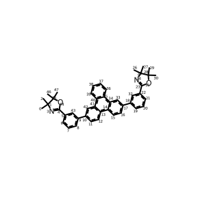 CC1(C)N=C(c2cccc(-c3ccc4c5ccc(-c6cccc(C7=NC(C)(C)C(C)(C)O7)c6)cc5c5ccccc5c4c3)c2)OC1(C)C